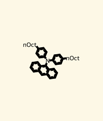 CCCCCCCCc1ccc(N(c2ccc(CCCCCCCC)cc2)c2c3ccccc3cc3ccccc23)cc1